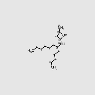 CCCCCCC(CCCCC)NC1CC(N)O1